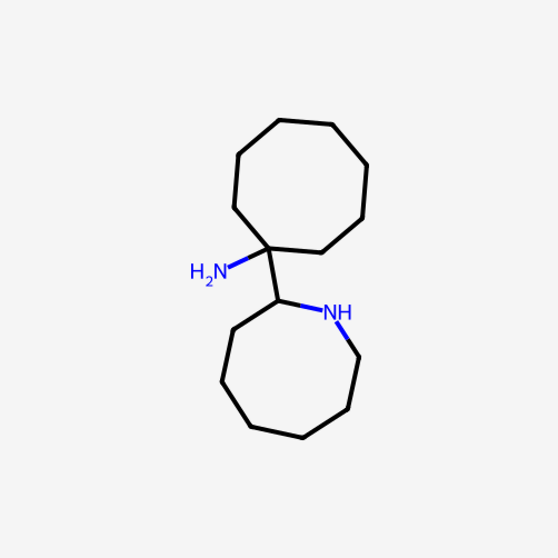 NC1(C2CCCCCCN2)CCCCCCC1